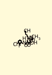 C#CCCCN1CN(C)C(=O)c2c(O)c(=O)c(C(=O)NCc3cccc(Cl)c3F)cn21